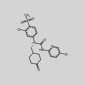 CS(=O)(=O)c1ccc([C@@H](CC2CCC(=O)CC2)C(=O)Nc2ccc(Cl)cn2)cc1Cl